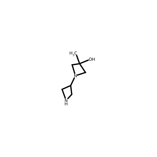 CC1(O)CN(C2CNC2)C1